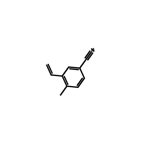 C=Cc1cc(C#N)ccc1C